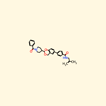 C=C(C)CNC(=O)c1ccc(-c2ccc3c(c2)COC(C2CCN(C(=O)c4ccccc4)CC2)O3)cc1